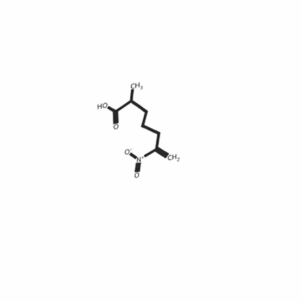 C=C(CCCC(C)C(=O)O)[N+](=O)[O-]